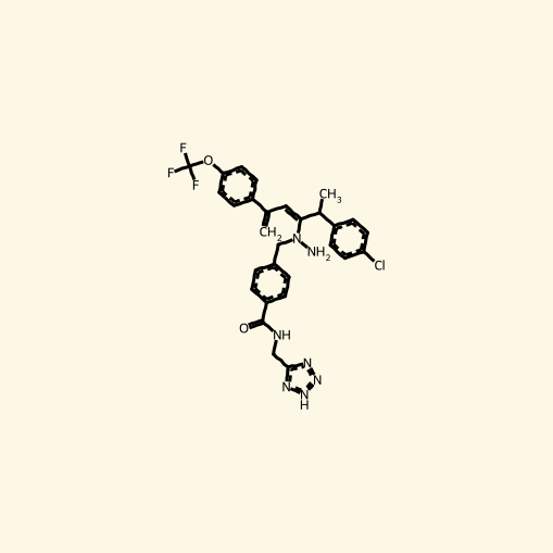 C=C(/C=C(/C(C)c1ccc(Cl)cc1)N(N)Cc1ccc(C(=O)NCc2nn[nH]n2)cc1)c1ccc(OC(F)(F)F)cc1